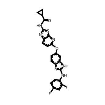 O=C(Nc1nc2ccc(Oc3ccc4nc(Nc5ccc(F)cc5F)[nH]c4c3)nc2s1)C1CC1